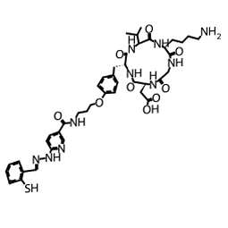 CC(C)C1NC(=O)[C@@H](Cc2ccc(OCCCNC(=O)c3ccc(N/N=C/c4ccccc4S)nc3)cc2)NC(=O)[C@H](CC(=O)O)NC(=O)CNC(=O)[C@H](CCCCN)NC1=O